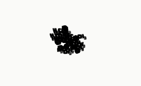 Cc1cc(C)c(-c2cc3c4c(c2)N(c2ccc(-c5ccccc5)c(C(C)(C)C)c2)c2cc(C(C)(C)C)c(-c5ccccc5)cc2B4c2cc(-c4ccccc4)c(C(C)(C)C)cc2N3c2ccc(-c3ccccc3)c(C(C)(C)C)c2)c(C)c1